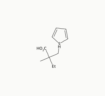 CCC(C)(C[SH]1C=CC=C1)C(=O)O